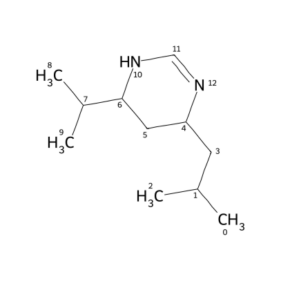 CC(C)CC1CC(C(C)C)NC=N1